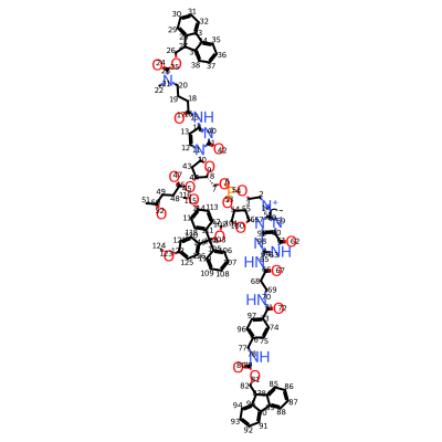 [C-]#[N+]CCOP(OC[C@H]1O[C@@H](n2ccc(NC(=O)CCCN(C)C(=O)OCC3c4ccccc4-c4ccccc43)nc2=O)CC1OC(=O)CCC(C)=O)OC1C[C@H](n2cnc3c(=O)[nH]c(NC(=O)CCNC(=O)c4ccc(CNC(=O)OCC5c6ccccc6-c6ccccc65)cc4)nc32)O[C@@H]1COC(c1ccccc1)(c1ccc(OC)cc1)c1ccc(OC)cc1